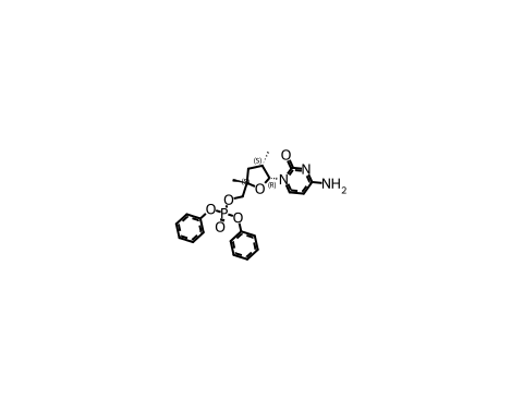 C[C@H]1C[C@@](C)(COP(=O)(Oc2ccccc2)Oc2ccccc2)O[C@H]1n1ccc(N)nc1=O